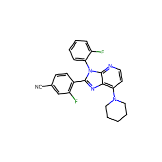 N#Cc1ccc(-c2nc3c(N4CCCCC4)ccnc3n2-c2ccccc2F)c(F)c1